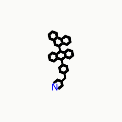 c1ccc2c(c1)cc(-c1c3ccccc3c(-c3ccc(Cc4ccncc4)cc3)c3ccccc13)c1ccccc12